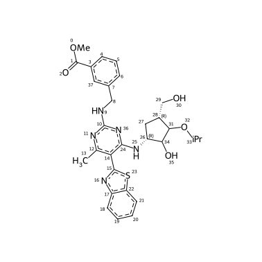 COC(=O)c1cccc(CNc2nc(C)c(-c3nc4ccccc4s3)c(N[C@@H]3C[C@H](CO)C(OC(C)C)C3O)n2)c1